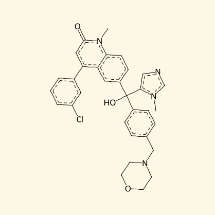 Cn1cncc1C(O)(c1ccc(CN2CCOCC2)cc1)c1ccc2c(c1)c(-c1cccc(Cl)c1)cc(=O)n2C